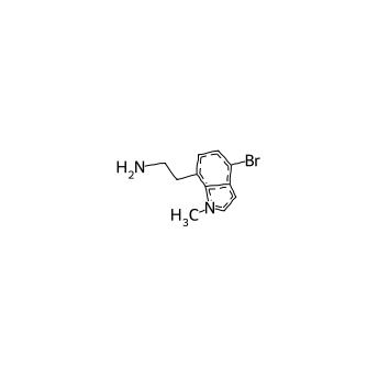 Cn1ccc2c(Br)ccc(CCN)c21